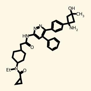 CCN(C(=O)C1CC1)C1CCC(CC(=O)Nc2cc(-c3ccccc3)c(-c3ccc(C4(N)CC(C)(O)C4)cc3)nn2)CC1